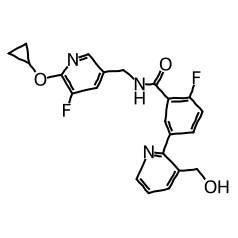 O=C(NCc1cnc(OC2CC2)c(F)c1)c1cc(-c2ncccc2CO)ccc1F